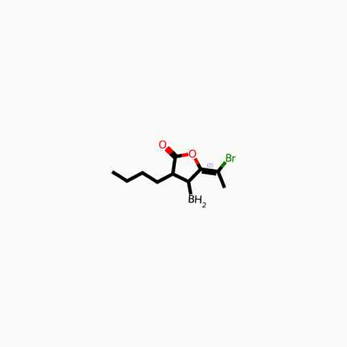 BC1/C(=C(\C)Br)OC(=O)C1CCCC